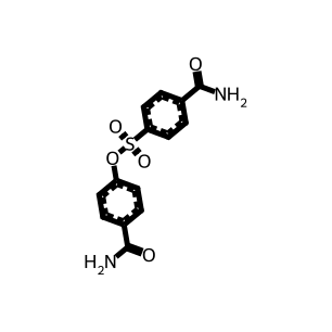 NC(=O)c1ccc(OS(=O)(=O)c2ccc(C(N)=O)cc2)cc1